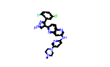 CN1CCN(c2ccc(Nc3cnc4ccc(-c5c[nH]nc5-c5cc(Cl)ccc5F)nc4c3)nc2)CC1